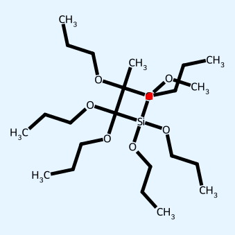 CCCOC(C)(OOC)C(OCCC)(OCCC)[Si](OCCC)(OCCC)OCCC